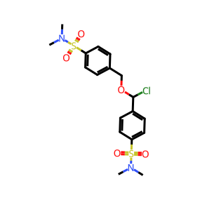 CN(C)S(=O)(=O)c1ccc(COC(Cl)c2ccc(S(=O)(=O)N(C)C)cc2)cc1